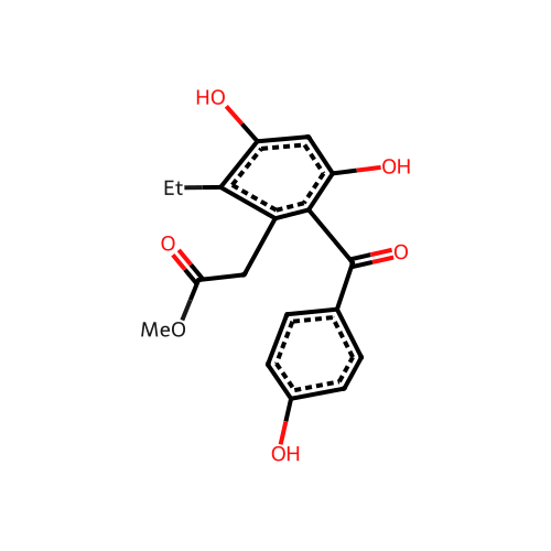 CCc1c(O)cc(O)c(C(=O)c2ccc(O)cc2)c1CC(=O)OC